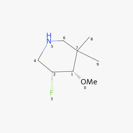 CO[C@@H]1[C@H](F)CNCC1(C)C